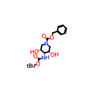 CC(C)(C)OC(=O)N[C@@H]1[C@H](O)CN(C(=O)OCc2ccccc2)C[C@@H]1O